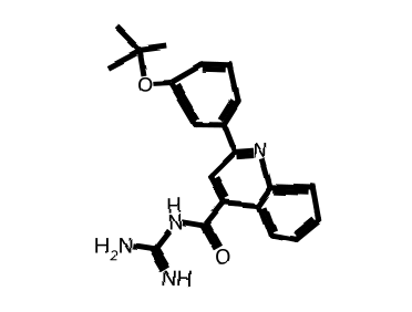 CC(C)(C)Oc1cccc(-c2cc(C(=O)NC(=N)N)c3ccccc3n2)c1